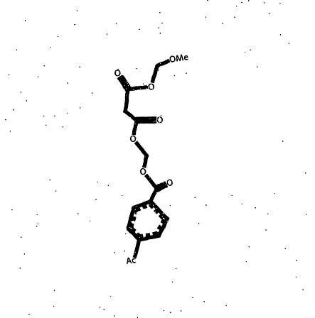 COCOC(=O)CC(=O)OCOC(=O)c1ccc(C(C)=O)cc1